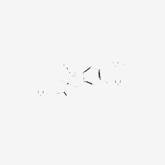 COC(=O)C(C)(Cc1ccc(OC)c(OC)c1)NN